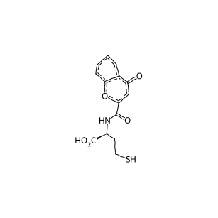 O=C(N[C@@H](CCS)C(=O)O)c1cc(=O)c2ccccc2o1